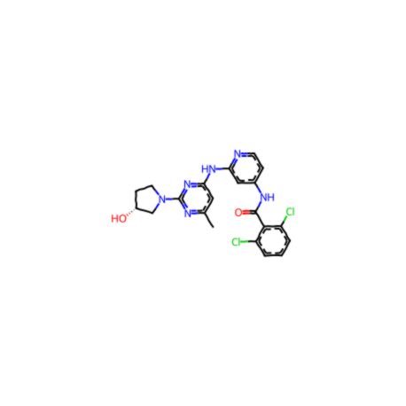 Cc1cc(Nc2cc(NC(=O)c3c(Cl)cccc3Cl)ccn2)nc(N2CC[C@@H](O)C2)n1